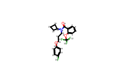 O=C(c1ccccc1OC(F)(F)F)N(CCCOc1ccc(F)cc1)C1CCC1